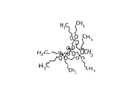 CCCCOC(COP(=O)(OCC(OCCCC)(OCCCC)OCCCC)OCC(OCCCC)(OCCCC)OCCCC)(OCCCC)OCCCC